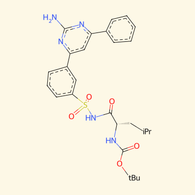 CC(C)C[C@H](NC(=O)OC(C)(C)C)C(=O)NS(=O)(=O)c1cccc(-c2cc(-c3ccccc3)nc(N)n2)c1